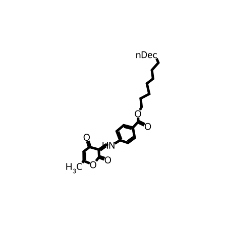 CCCCCCCCCCCCCCCCCOC(=O)c1ccc(NC=C2C(=O)C=C(C)OC2=O)cc1